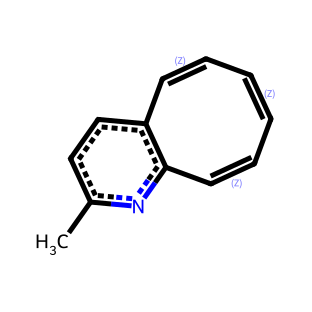 Cc1ccc2c(n1)\C=C/C=C\C=C/2